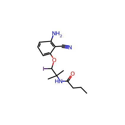 CCCC(=O)NC(C)(C)C(I)Oc1cccc(N)c1C#N